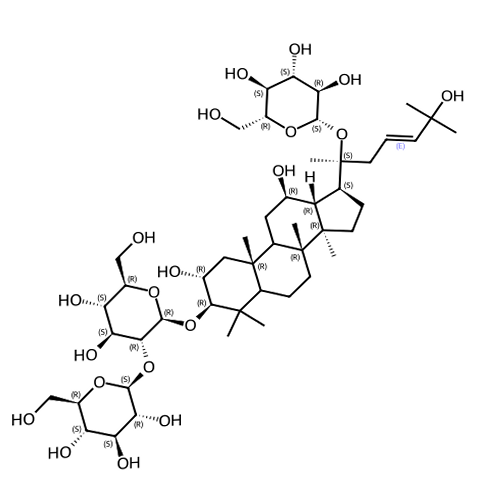 CC(C)(O)/C=C/C[C@](C)(O[C@@H]1O[C@H](CO)[C@@H](O)[C@H](O)[C@H]1O)[C@H]1CC[C@]2(C)[C@@H]1[C@H](O)CC1[C@@]3(C)C[C@@H](O)[C@H](O[C@@H]4O[C@H](CO)[C@@H](O)[C@H](O)[C@H]4O[C@@H]4O[C@H](CO)[C@@H](O)[C@H](O)[C@H]4O)C(C)(C)C3CC[C@]12C